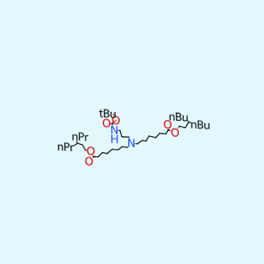 CCCCC(CCCC)CCOC(=O)CCCCCCCN(CCCCCCCC(=O)OCCC(CCC)CCC)CCCNC(=O)OC(C)(C)C